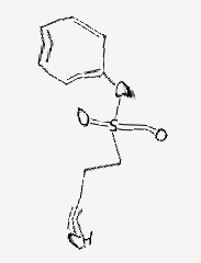 C#CCCS(=O)(=O)Oc1ccccc1